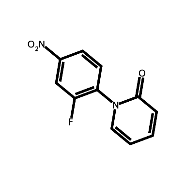 O=c1ccccn1-c1ccc([N+](=O)[O-])cc1F